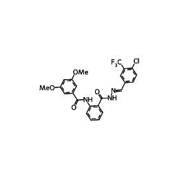 COc1cc(OC)cc(C(=O)Nc2ccccc2C(=O)NN=Cc2ccc(Cl)c(C(F)(F)F)c2)c1